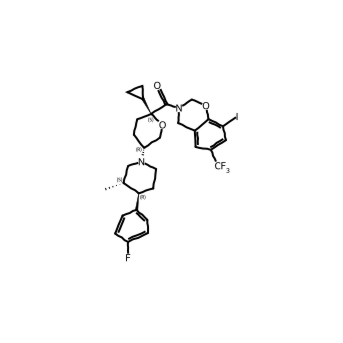 C[C@@H]1CN([C@@H]2CC[C@@](C(=O)N3COc4c(I)cc(C(F)(F)F)cc4C3)(C3CC3)OC2)CC[C@H]1c1ccc(F)cc1